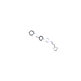 O=C(Nc1ccc(O)cc1)c1ccc(N2CCN(C(=O)CCC3CCCC3)CC2)cc1